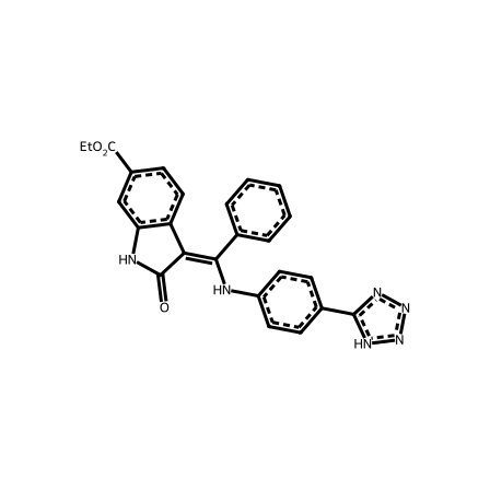 CCOC(=O)c1ccc2c(c1)NC(=O)/C2=C(\Nc1ccc(-c2nnn[nH]2)cc1)c1ccccc1